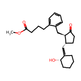 COC(=O)CCCc1ccccc1C[C@H]1C(=O)CC[C@@H]1/C=C1\CCCC[C@@H]1O